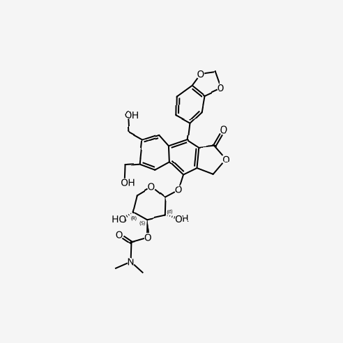 CN(C)C(=O)O[C@H]1[C@H](O)COC(Oc2c3c(c(-c4ccc5c(c4)OCO5)c4cc(CO)c(CO)cc24)C(=O)OC3)[C@@H]1O